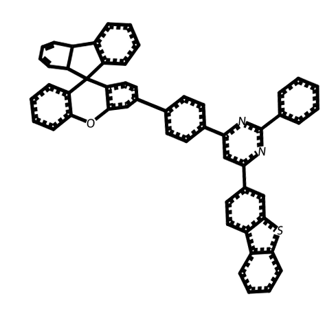 C1=CC2c3ccccc3C3(c4ccccc4Oc4cc(-c5ccc(-c6cc(-c7ccc8c(c7)sc7ccccc78)nc(-c7ccccc7)n6)cc5)ccc43)C2C=C1